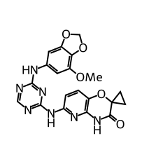 COc1cc(Nc2ncnc(Nc3ccc4c(n3)NC(=O)C3(CC3)O4)n2)cc2c1OCO2